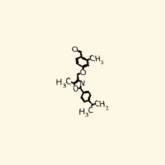 Cc1cc(OCc2nc(-c3ccc(C(C)C)cc3)oc2C)ccc1C=O